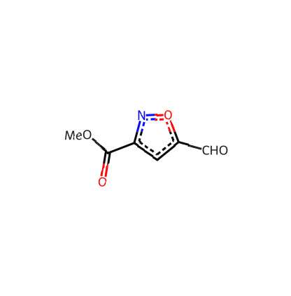 COC(=O)c1cc(C=O)on1